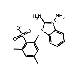 Cc1cc(C)c(S(=O)(=O)[O-])c(C)c1.Nc1sc2ccccc2[n+]1N